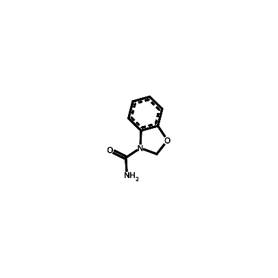 NC(=O)N1COc2ccccc21